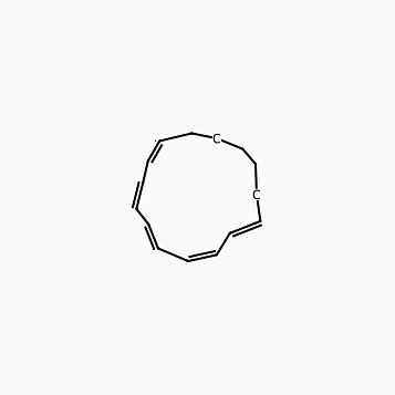 [C]1=C/C=C/C=C/C=C\C=C\CCCCC\1